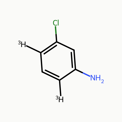 [3H]c1cc([3H])c(Cl)cc1N